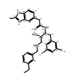 CCc1cccc(CNC[C@@H](O)[C@H](Cc2cc(F)cc(F)c2)NC(=O)Cc2ccc3oc(C)nc3c2)c1